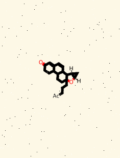 CC(=O)CCCC12CCC3C4CCC(=O)C=C4C=CC3C1[C@H]1C[C@H]1O2